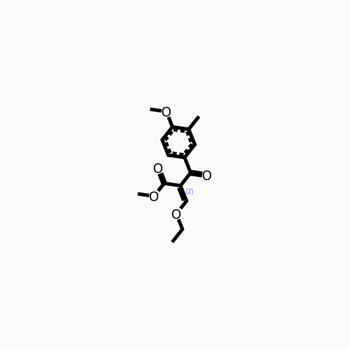 CCO/C=C(\C(=O)OC)C(=O)c1ccc(OC)c(C)c1